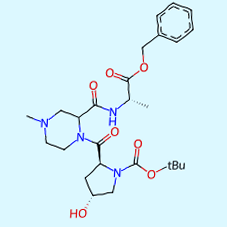 C[C@H](NC(=O)C1CN(C)CCN1C(=O)[C@@H]1C[C@@H](O)CN1C(=O)OC(C)(C)C)C(=O)OCc1ccccc1